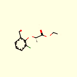 CCOC(=O)[C@@H](C)Oc1c(Cl)cccc1C=O